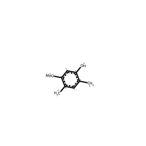 COc1cc(O)c(C)cc1C